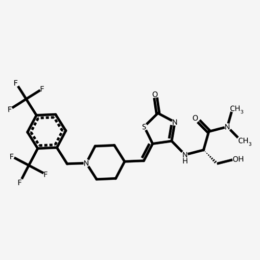 CN(C)C(=O)[C@H](CO)NC1=NC(=O)S/C1=C\C1CCN(Cc2ccc(C(F)(F)F)cc2C(F)(F)F)CC1